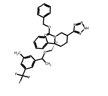 Cc1cc(C(C)OC[C@@]2(c3ccccc3)CCC(c3nn[nH]n3)CN2C(=O)OCc2ccccc2)cc(C(F)(F)F)c1